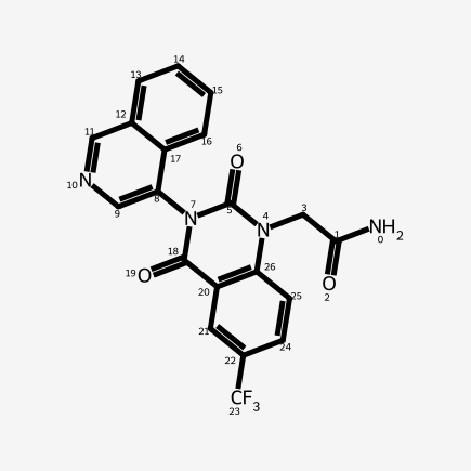 NC(=O)Cn1c(=O)n(-c2cncc3ccccc23)c(=O)c2cc(C(F)(F)F)ccc21